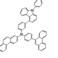 c1ccc(-n2c3ccccc3c3c(-c4cccc(N(c5ccc(-c6cc7ccccc7c7ccccc67)cc5)c5ccc6c(ccc7ccccc76)c5)c4)cccc32)cc1